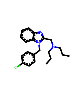 CCCN(CCC)Cc1nc2ccccc2n1Cc1ccc(Cl)cc1